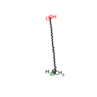 C[Si](C)(Cl)CCCCCCCCCCCCCCCCCCCCCCCCCCCCCCCCCCCCCC(=O)O